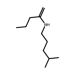 C=C(CCC)NCCCC(C)C